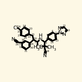 CC(NC(c1ccc(-n2nccn2)cc1)C(C)(C)C#N)C(Cc1ccc(Cl)cc1)c1cccc(C#N)c1